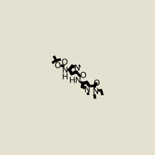 CCN(CC)C(=O)c1cc(NC(=O)c2cc(NC(=O)OC(C)(C)C)cn2C)cn1C